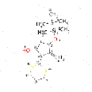 C=C1C(O[Si](C)(C)C(C)(C)C)CC(O)C1C1SCCCS1